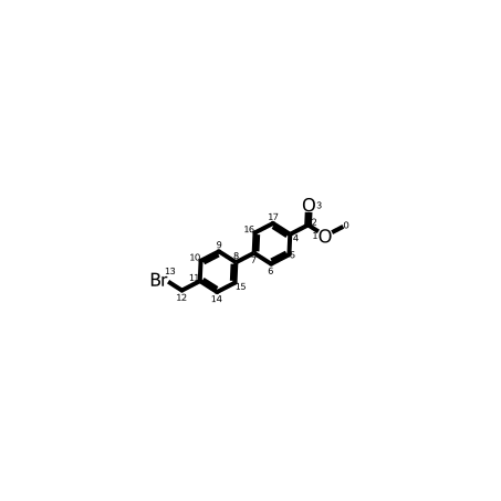 COC(=O)c1ccc(-c2ccc(CBr)cc2)cc1